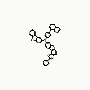 c1ccc(-c2nc3ccc4oc5cc(N(c6ccc(-c7cccc8ccccc78)cc6)c6ccc7oc8ccccc8c7c6)ccc5c4c3o2)cc1